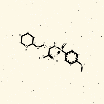 COc1ccc(S(=O)(=O)N[C@@H](COC2CCCCO2)C(=O)O)cc1